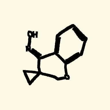 O/N=C1\c2ccccc2OCC12CC2